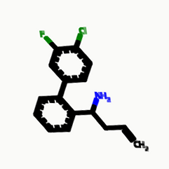 C=CCC(N)c1ccccc1-c1ccc(Cl)c(F)c1